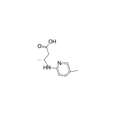 Cc1ccc(N[C@H](C)CC(=O)O)nc1